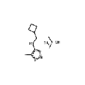 B.CSC.Cc1oncc1NCC1CCC1.Cl